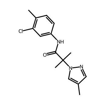 Cc1cnn(C(C)(C)C(=O)Nc2ccc(C)c(Cl)c2)c1